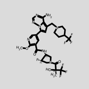 COc1ncc(-c2cc(CN3CCC(C(F)(F)F)CC3)c3c(N)ncnn23)cc1C(=O)N[C@@H]1CN(C(=O)[C@@](C)(O)C(F)(F)F)C[C@@H]1F